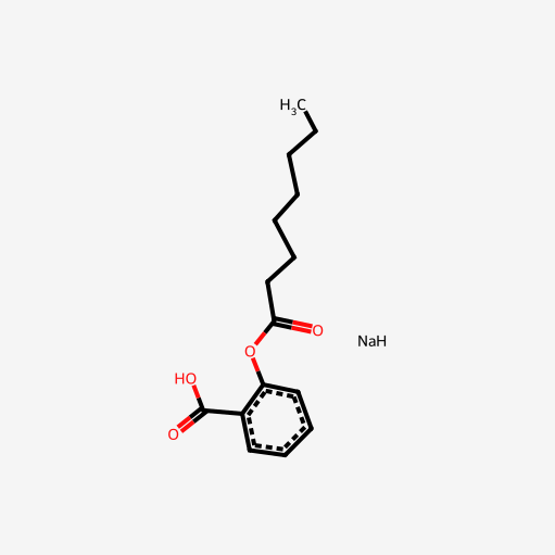 CCCCCCCC(=O)Oc1ccccc1C(=O)O.[NaH]